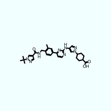 Cc1cc(-c2ccnc(Nc3cnn(C4CCC(C(=O)O)CC4)c3)n2)ccc1CNC(=O)c1cnn(C(C)(C)C)c1